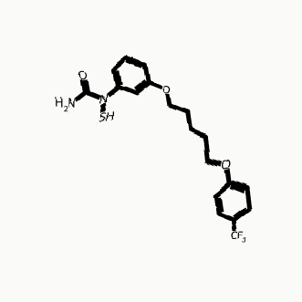 NC(=O)N(S)c1cccc(OCCCCCOc2ccc(C(F)(F)F)cc2)c1